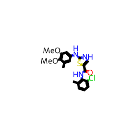 COc1cc(NC2NC=C(C(=O)Nc3c(C)cccc3Cl)S2)cc(C)c1OC